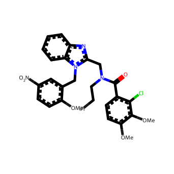 COc1ccc([N+](=O)[O-])cc1Cn1c(CN(CCC(C)C)C(=O)c2ccc(OC)c(OC)c2Cl)nc2ccccc21